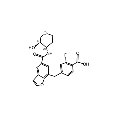 O=C(N[C@H]1CCOC[C@@H]1O)c1cc(Cc2ccc(C(=O)O)c(F)c2)c2occc2n1